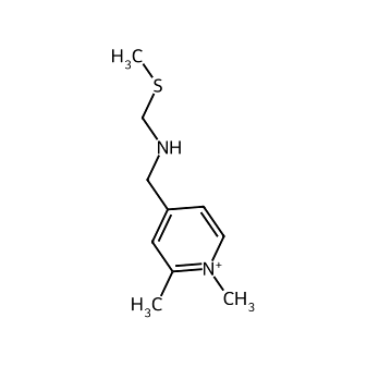 CSCNCc1cc[n+](C)c(C)c1